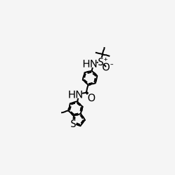 Cc1cc(NC(=O)c2ccc(N[S+]([O-])C(C)(C)C)cc2)cc2ccsc12